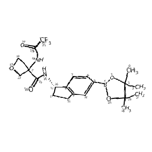 CC1(C)OB(c2ccc3c(c2)CC[C@@H]3NC(=O)C2(NC(=O)C(F)(F)F)COC2)OC1(C)C